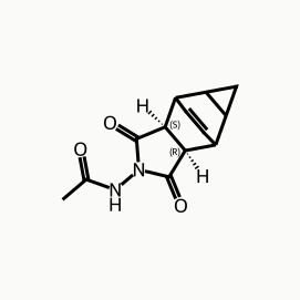 CC(=O)NN1C(=O)[C@@H]2C3C=CC(C4CC43)[C@@H]2C1=O